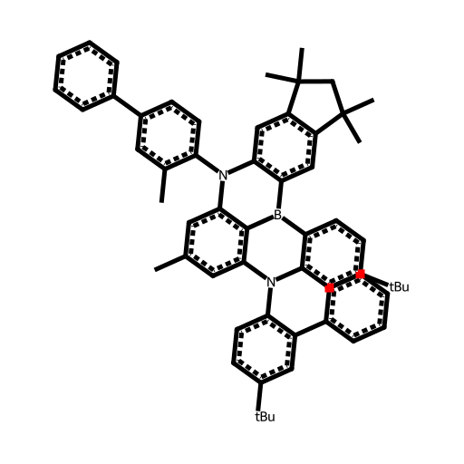 Cc1cc2c3c(c1)N(c1ccc(C(C)(C)C)cc1-c1ccccc1)c1cc(C(C)(C)C)ccc1B3c1cc3c(cc1N2c1ccc(-c2ccccc2)cc1C)C(C)(C)CC3(C)C